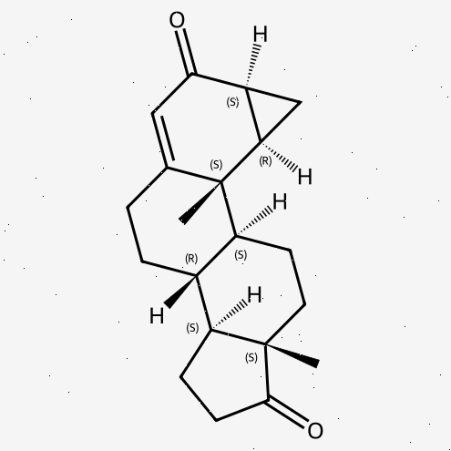 C[C@@]12C(=CC(=O)[C@H]3C[C@H]31)CC[C@@H]1[C@@H]2CC[C@]2(C)C(=O)CC[C@@H]12